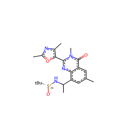 Cc1cc(C(C)N[S@+]([O-])C(C)(C)C)c2nc(-c3oc(C)nc3C)n(C)c(=O)c2c1